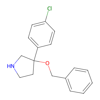 Clc1ccc(C2(OCc3ccccc3)CCNC2)cc1